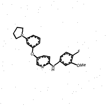 COc1cc(Nc2ccc(Oc3cccc(N4CCCC4)c3)cn2)ccc1F